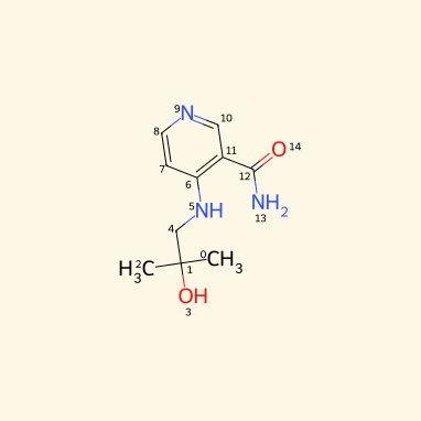 CC(C)(O)CNc1ccncc1C(N)=O